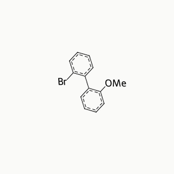 COc1ccccc1-c1ccccc1Br